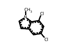 Cn1c[c]c2cc(Cl)cc(Cl)c21